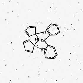 CCC[C]1([Hf+]([SiH](c2ccccc2)c2ccccc2)[C]2(CCC)C=CC=C2)C=CC=C1